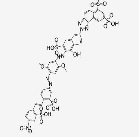 COc1cc(N=Nc2c(S(=O)(=O)O)cc3cc(-n4nc5ccc6c(S(=O)(=O)O)cc(S(=O)(=O)O)cc6c5n4)ccc3c2O)c(OC)cc1N=Nc1ccc(C=Cc2ccc([N+](=O)[O-])cc2S(=O)(=O)O)c(S(=O)(=O)O)c1